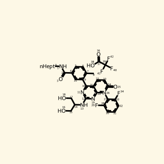 CCCCCCCNC(=O)c1ccc(C)c(-c2nc(NC(CO)CO)nc3c2ccc(=O)n3-c2c(F)cccc2F)c1.O=C(O)C(F)(F)F